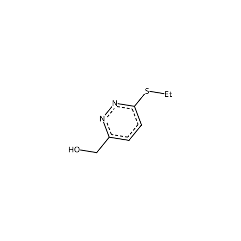 CCSc1ccc(CO)nn1